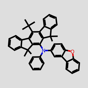 CC(C)(C)c1c2c(c(N(c3ccccc3)c3ccc4oc5ccccc5c4c3)c3c1-c1ccccc1C3(C)C)C(C)(C)c1ccccc1-2